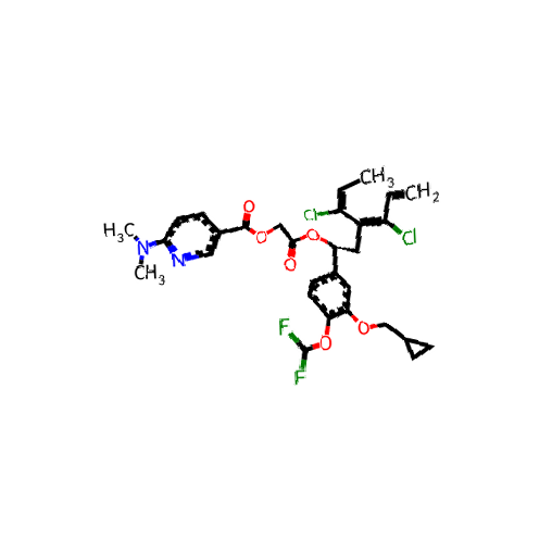 C=C/C(Cl)=C(C[C@H](OC(=O)COC(=O)c1ccc(N(C)C)nc1)c1ccc(OC(F)F)c(OCC2CC2)c1)\C(Cl)=C/C